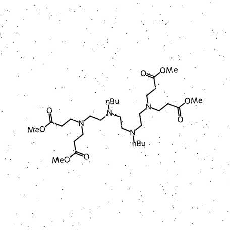 CCCCN(CCN(CCC(=O)OC)CCC(=O)OC)CCN(CCCC)CCN(CCC(=O)OC)CCC(=O)OC